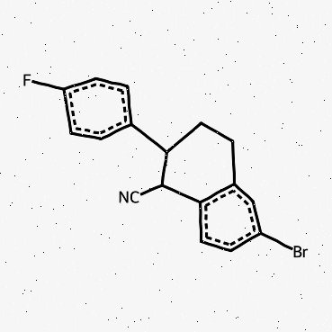 N#CC1c2ccc(Br)cc2CCC1c1ccc(F)cc1